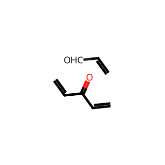 C=CC(=O)C=C.C=CC=O